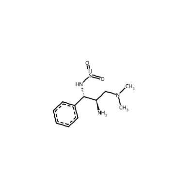 CN(C)C[C@@H](N)[C@@H](N[SH](=O)=O)c1ccccc1